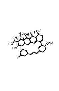 COC1CCC(CCCC2CCCC(F)C2)CC1C1CCC(O)C2C(O)C3C(CC12)CC1CC(O)C(C(C)O)C(O)C1(O)C3O